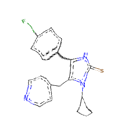 Fc1ccc(-c2[nH]c(=S)n(C3CC3)c2-c2ccncc2)cc1